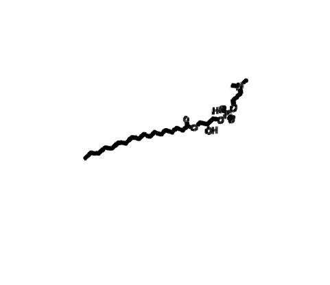 CCCCCCCCCCCCCCCCCC(=O)OC[C@@H](O)COP(=O)(O)OCCN(C)C